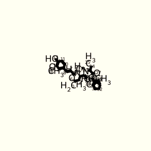 C=CCC(NC(=O)/C=C/c1ccc(O)c(OC)c1)C(=O)N(CC)C(CC)C(=O)OC1CC2CCC1(C)C2(C)C